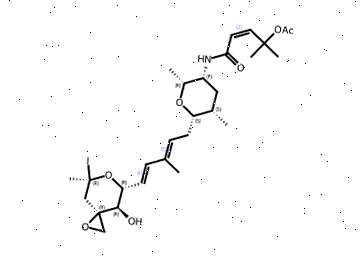 CC(=O)OC(C)(C)/C=C\C(=O)N[C@@H]1C[C@H](C)[C@H](C/C=C(C)/C=C/[C@H]2O[C@](C)(I)C[C@@]3(CO3)[C@@H]2O)O[C@@H]1C